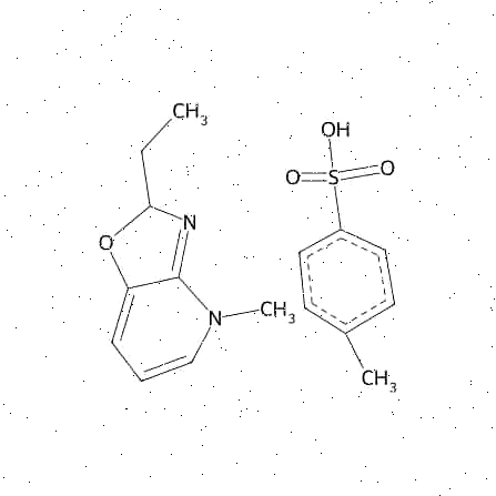 CCC1N=C2C(=CC=CN2C)O1.Cc1ccc(S(=O)(=O)O)cc1